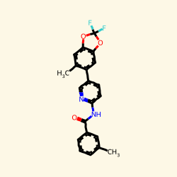 Cc1cccc(C(=O)Nc2ccc(-c3cc4c(cc3C)OC(F)(F)O4)cn2)c1